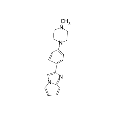 CN1CCN(c2ccc(-c3cn4ccccc4n3)cc2)CC1